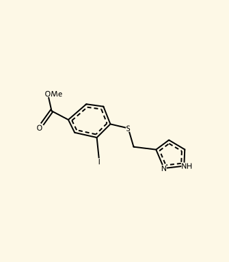 COC(=O)c1ccc(SCc2cc[nH]n2)c(I)c1